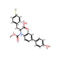 COC(=O)N(c1ccc(-c2ccc(O)cc2)cc1)C(Cc1ccc(F)cc1)C(=O)O